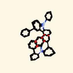 c1ccc(-c2ccc3c(c2)c2c(-c4cccc(N(c5ccccc5-c5ccccc5)c5ccccc5-c5ccccc5)c4)cccc2n3-c2ccccc2)cc1